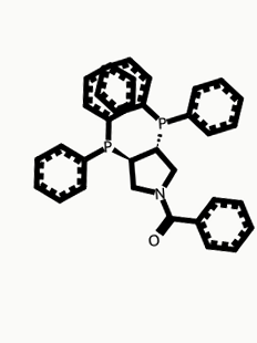 O=C(c1ccccc1)N1C[C@@H](P(c2ccccc2)c2ccccc2)[C@H](P(c2ccccc2)c2ccccc2)C1